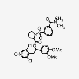 COc1ccc(C(Cc2c(Cl)c[n+]([O-])cc2Cl)OC(=O)C2CCCN2S(=O)(=O)c2cccc(C(=O)N(C)C)c2)cc1OC